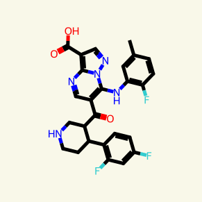 Cc1ccc(F)c(Nc2c(C(=O)C3CNCCC3c3ccc(F)cc3F)cnc3c(C(=O)O)cnn23)c1